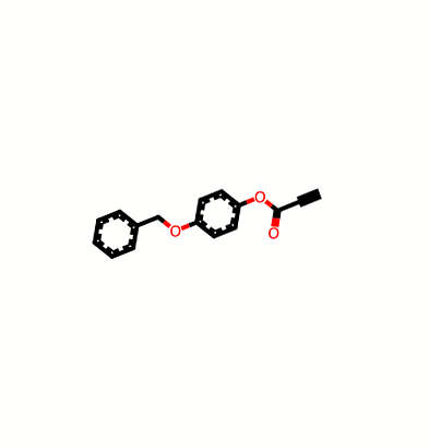 C#CC(=O)Oc1ccc(OCc2ccccc2)cc1